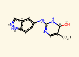 O=C(O)C1=CN=C(Nc2ccc3[nH]ncc3c2)NC1O